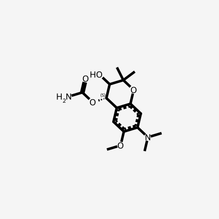 COc1cc2c(cc1N(C)C)OC(C)(C)C(O)[C@H]2OC(N)=O